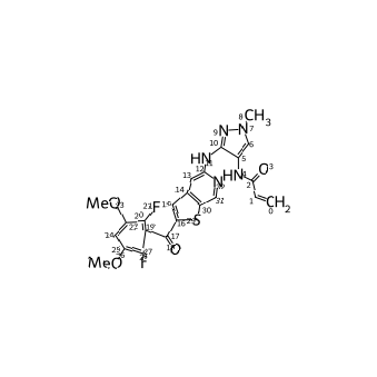 C=CC(=O)Nc1cn(C)nc1Nc1cc2cc(C(=O)c3c(F)c(OC)cc(OC)c3F)sc2cn1